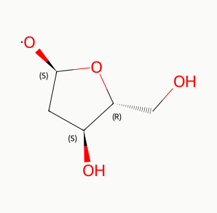 [O][C@@H]1C[C@H](O)[C@@H](CO)O1